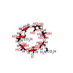 C[C@H](CSCC1C[C@@H]2O[C@@H]3C(CO)O[C@H](O[C@@H]4C(CO)O[C@H](O[C@H]5C(CSC[C@@H](N)C(=O)O)O[C@H](O[C@@H]6C(CO)O[C@H](O[C@@H]7C(CO)O[C@H](O[C@@H]8C(CO)O[C@H](O[C@H]1[C@H](O)C2O)C(O)[C@H]8O)[C@@H](O)C7O)[C@@H](O)C6O)[C@@H](O)C5O)[C@@H](O)C4O)[C@@H](O)C3O)C(=O)O